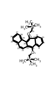 CS(C)(C)COc1c2ccccc2c(OCS(C)(C)C)c2c1ccc1ccccc12